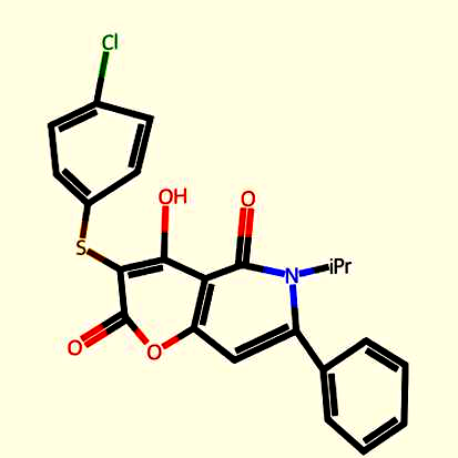 CC(C)n1c(-c2ccccc2)cc2oc(=O)c(Sc3ccc(Cl)cc3)c(O)c2c1=O